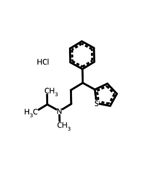 CC(C)N(C)CCC(c1ccccc1)c1cccs1.Cl